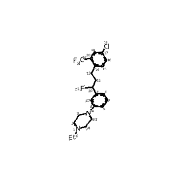 CCN1CCN(c2cccc(C(F)CCc3ccc(Cl)cc3C(F)(F)F)c2)CC1